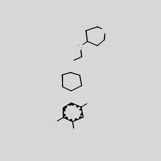 Cc1cc(F)c(F)cc1[C@H]1CC[C@@H](CCNC2CCOCC2)CC1